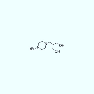 CC(C)(C)N1CCN(CC(CO)CO)CC1